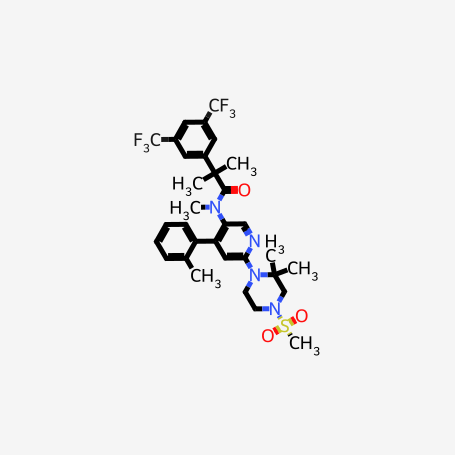 Cc1ccccc1-c1cc(N2CCN(S(C)(=O)=O)CC2(C)C)ncc1N(C)C(=O)C(C)(C)c1cc(C(F)(F)F)cc(C(F)(F)F)c1